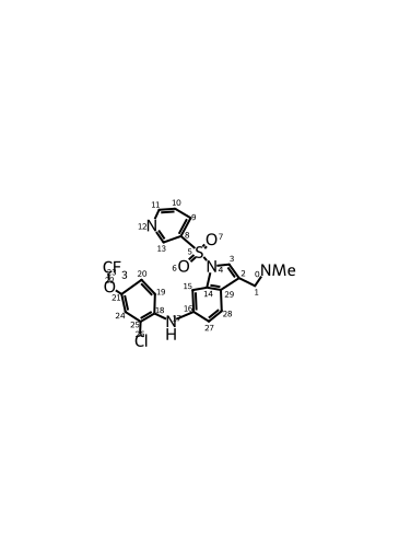 CNCc1cn(S(=O)(=O)c2cccnc2)c2cc(Nc3ccc(OC(F)(F)F)cc3Cl)ccc12